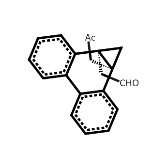 CC(=O)C[C@@]12C[C@]1(CC=O)c1ccccc1-c1ccccc12